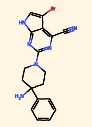 N#Cc1nc(N2CCC(N)(c3ccccc3)CC2)nc2[nH]cc(Br)c12